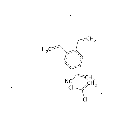 C=C(Cl)Cl.C=CC#N.C=Cc1ccccc1C=C